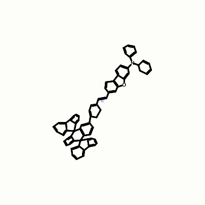 C1=CCC(N(c2ccccc2)c2ccc3c(c2)oc2cc(/C=C/C4=CC=C(c5ccc6c(c5)C5(c7ccccc7-c7ccccc75)c5ccccc5C65c6ccccc6-c6ccccc65)CC4)ccc23)C=C1